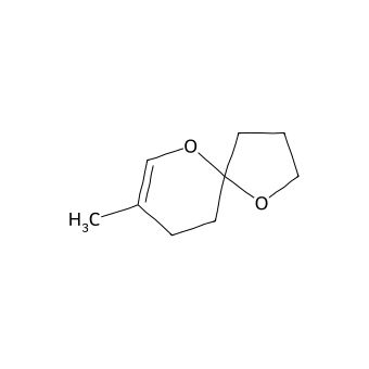 CC1=COC2(CCCO2)CC1